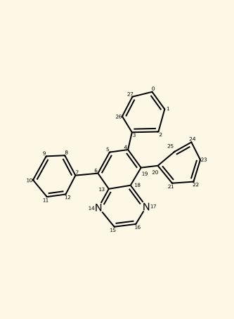 c1ccc(-c2cc(-c3ccccc3)c3nccnc3c2-c2ccccc2)cc1